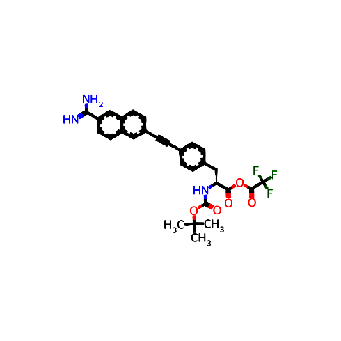 CC(C)(C)OC(=O)N[C@@H](Cc1ccc(C#Cc2ccc3cc(C(=N)N)ccc3c2)cc1)C(=O)OC(=O)C(F)(F)F